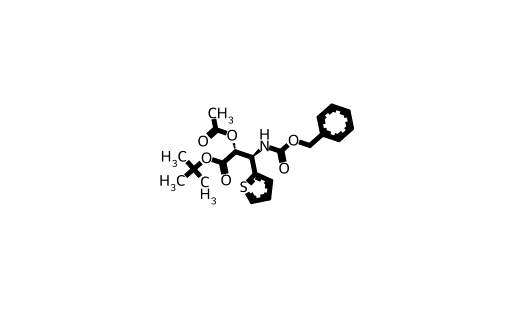 CC(=O)O[C@@H](C(=O)OC(C)(C)C)[C@@H](NC(=O)OCc1ccccc1)c1cccs1